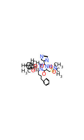 CN(C)S(=O)(=O)CC(NC(=O)c1cnccn1)C(=O)NC(CCCc1ccccc1)B1O[C@]2(C)C[C@@H]3C[C@@H](C3(C)C)[C@]2(C)O1